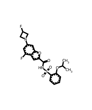 CC(C)Oc1ccccc1S(=O)(=O)NC(=O)c1cc2c(F)cc(N3CC(F)C3)cc2o1